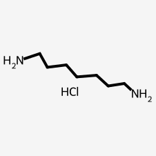 Cl.NCCCCCCCN